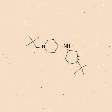 CC(C)(C)CN1CCC(NC2CCN(C(C)(C)C)CC2)CC1